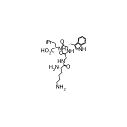 CC(C)C[C@H](NC(=O)[C@H](Cc1c[nH]c2ccccc12)NC(=O)CNC(=O)[C@@H](N)CCCCN)C(=O)O